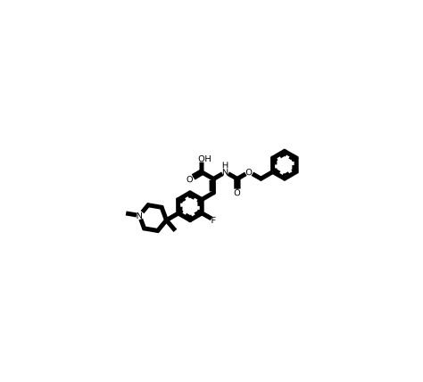 CN1CCC(C)(c2ccc(/C=C(/NC(=O)OCc3ccccc3)C(=O)O)c(F)c2)CC1